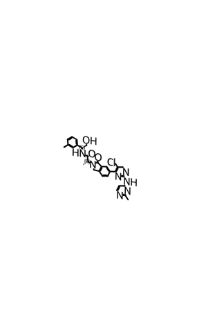 Cc1cccc([C@@H](CO)NC(=O)[C@@H](C)N2Cc3ccc(-c4nc(Nc5ccnc(C)n5)ncc4Cl)cc3C2=O)c1